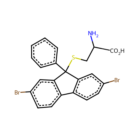 NC(CSC1(c2ccccc2)c2cc(Br)ccc2-c2ccc(Br)cc21)C(=O)O